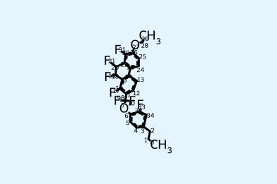 CCCc1ccc(OC(F)(F)c2ccc3c(c2F)C(F)C(F)c2c-3ccc(OCC)c2F)c(F)c1